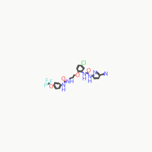 N#Cc1ccc(NC(=O)Nc2cc(Cl)ccc2OCCCNC(=O)Nc2ccc(OC(F)(F)F)cc2)nc1